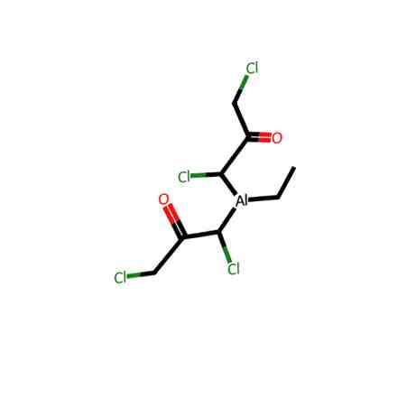 C[CH2][Al]([CH](Cl)C(=O)CCl)[CH](Cl)C(=O)CCl